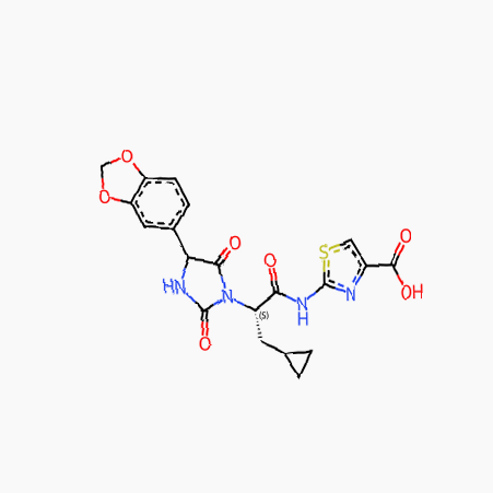 O=C(O)c1csc(NC(=O)[C@H](CC2CC2)N2C(=O)NC(c3ccc4c(c3)OCO4)C2=O)n1